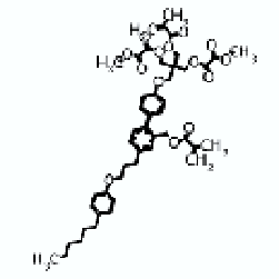 C=C(C)C(=O)OCc1cc(CCCOc2ccc(CCCCCC)cc2)ccc1-c1ccc(OCC(COC(=O)C(=C)C)(COC(=O)C(=O)OC)COC(=O)C(=O)OC)cc1